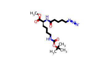 COC(=O)[C@H](CCCCNC(=O)OC(C)(C)C)NC(=O)CCCCN=[N+]=[N-]